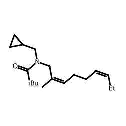 CC/C=C\CC/C=C(/C)CN(CC1CC1)C(=O)C(C)CC